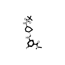 CN(C)C(=O)c1cc(F)cc(NC[C@H]2CC[C@H](NS(=O)(=O)C(C)(C)C)CC2)c1